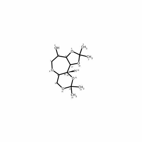 CC1(C)OC2C(O)COC3COC(C)(C)O[C@H]3C2O1